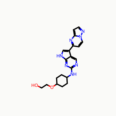 OCCOC1CCC(Nc2ncc3c(-c4ccn5nccc5n4)c[nH]c3n2)CC1